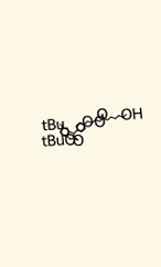 CC(C)(C)c1cc2c(c(C(C)(C)C)c1)OC(=O)C2c1ccc(OCCOC(=O)CCCCCO)cc1